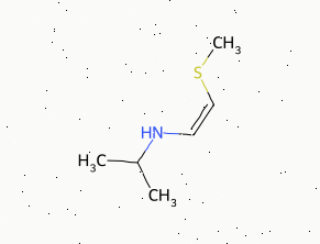 CS/C=C\NC(C)C